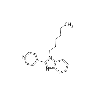 CCCCCCn1c(-c2ccncc2)nc2ccccc21